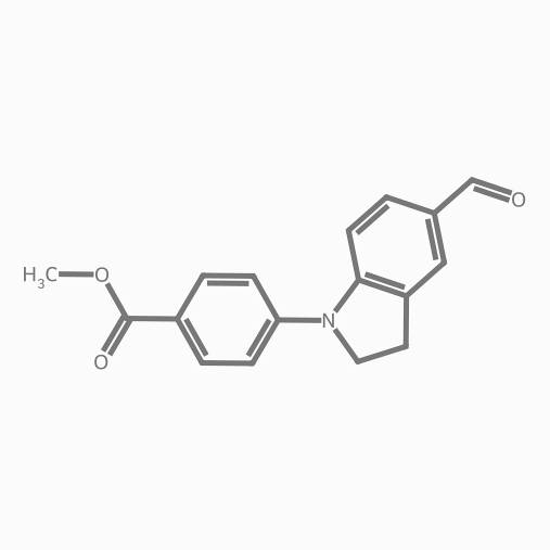 COC(=O)c1ccc(N2CCc3cc(C=O)ccc32)cc1